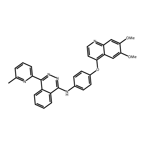 COc1cc2nccc(Oc3ccc(Nc4nnc(-c5cccc(C)n5)c5ccccc45)cc3)c2cc1OC